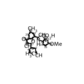 C#C/C=C(\C=C/C)c1oc2c(C(C)Nc3ccc(OC)nc3C(=O)O)cc(C)cc2c(=O)c1C